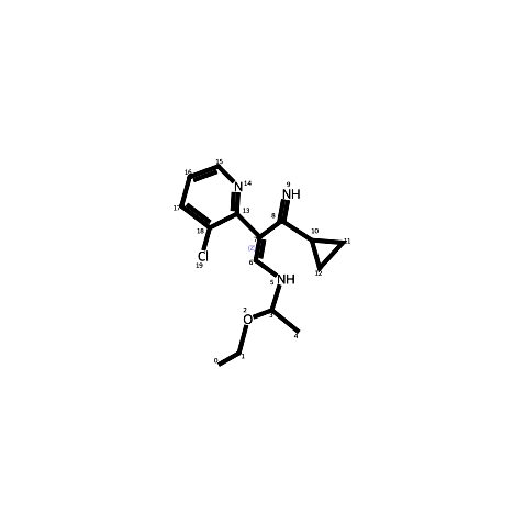 CCOC(C)N/C=C(\C(=N)C1CC1)c1ncccc1Cl